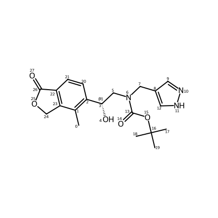 Cc1c([C@@H](O)CN(Cc2cn[nH]c2)C(=O)OC(C)(C)C)ccc2c1COC2=O